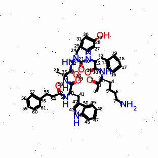 CC(=O)[C@H](CCCCN)NC(=O)[C@@H](Cc1ccccc1)NC(=O)N(Cc1ccc(O)cc1)NC(=O)[C@H](C)NC(=O)[C@@H](Cc1c[nH]c2ccccc12)NC(=O)CCc1ccccc1